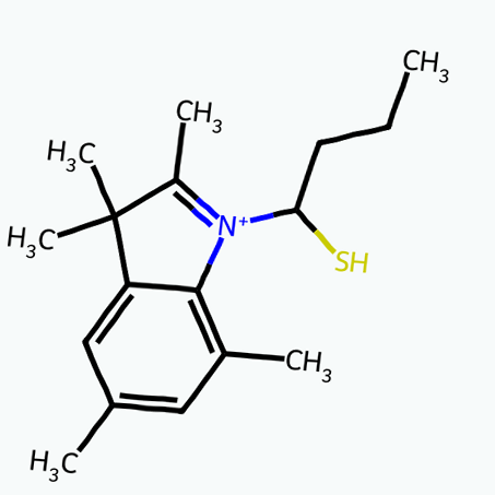 CCCC(S)[N+]1=C(C)C(C)(C)c2cc(C)cc(C)c21